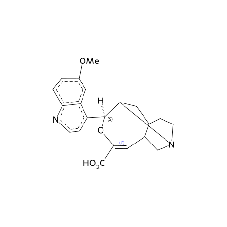 COc1ccc2nccc([C@@H]3O/C(C(=O)O)=C\C4CN5CCC4CC35)c2c1